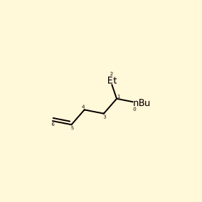 [CH2]CCCC(CC)CCC=C